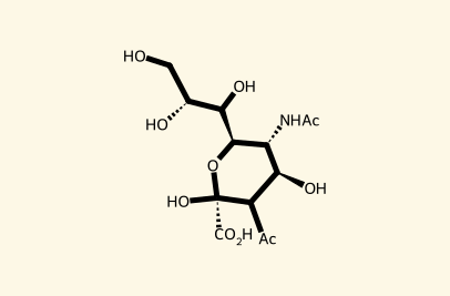 CC(=O)N[C@@H]1[C@@H](O)C(C(C)=O)[C@](O)(C(=O)O)O[C@H]1C(O)[C@H](O)CO